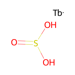 O=S(O)O.[Tb]